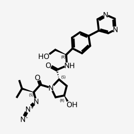 CC(C)[C@H](N=[N+]=[N-])C(=O)N1C[C@H](O)C[C@H]1C(=O)N[C@@H](CO)c1ccc(-c2cncnc2)cc1